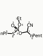 CCCCCC(C#N)OP(=O)(OCC)SCCC